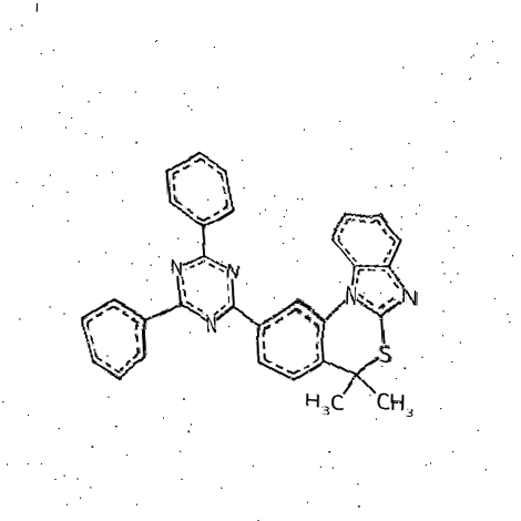 CC1(C)Sc2nc3ccccc3n2-c2cc(-c3nc(-c4ccccc4)nc(-c4ccccc4)n3)ccc21